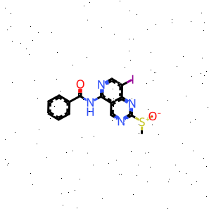 C[S+]([O-])c1ncc2c(NC(=O)c3ccccc3)ncc(I)c2n1